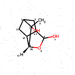 CC1(O)C2CC3C(O)O[C@@H]1C3C2